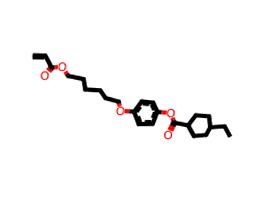 C=CC(=O)OCCCCCCOc1ccc(OC(=O)C2CCC(CC)CC2)cc1